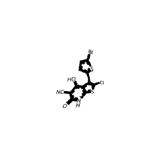 N#Cc1c(O)c2c(-c3ccc(Br)s3)c(Cl)sc2[nH]c1=O